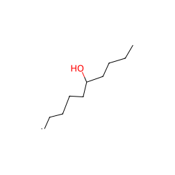 [CH2]CCCCC(O)CCCC